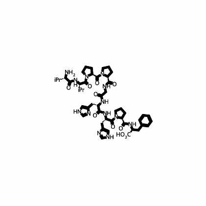 CC(C)[C@H](N)C(=O)N[C@H](C(=O)N1CCC[C@H]1C(=O)N1CCC[C@H]1C(=O)NCC(=O)N[C@@H](Cc1c[nH]cn1)C(=O)N[C@@H](Cc1c[nH]cn1)C(=O)N1CCC[C@H]1C(=O)N[C@@H](Cc1ccccc1)C(=O)O)C(C)C